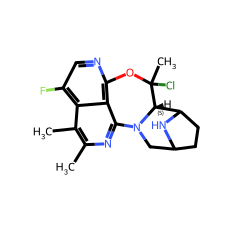 Cc1nc2c3c(ncc(F)c3c1C)OC(C)(Cl)[C@@H]1C3CCC(CN21)N3